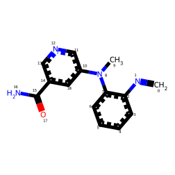 C=Nc1ccccc1N(C)c1cncc(C(N)=O)c1